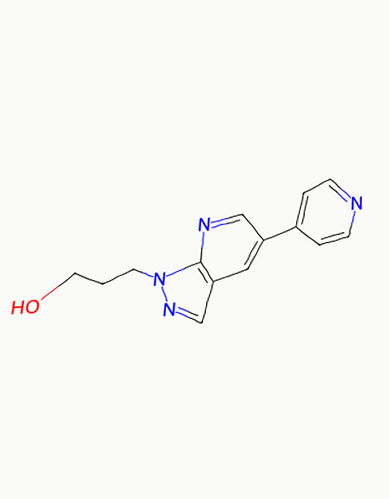 OCCCn1ncc2cc(-c3ccncc3)cnc21